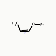 [CH2]CO/C=C\C